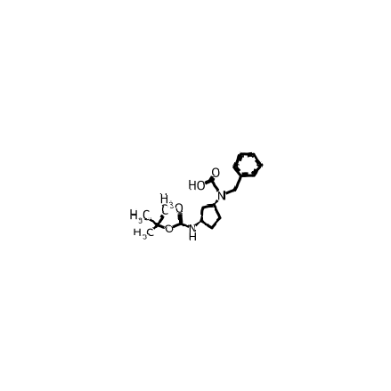 CC(C)(C)OC(=O)N[C@@H]1CC[C@H](N(Cc2ccccc2)C(=O)O)C1